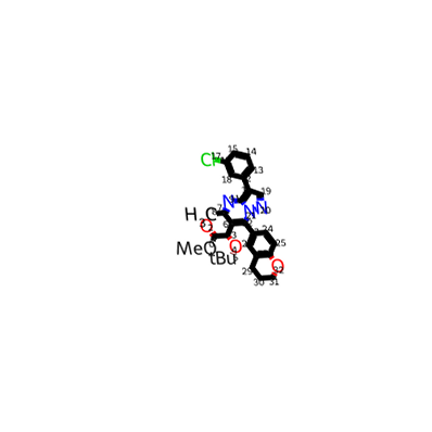 COC(=O)C(OC(C)(C)C)c1c(C)nc2c(-c3cccc(Cl)c3)cnn2c1-c1ccc2c(c1)CCCO2